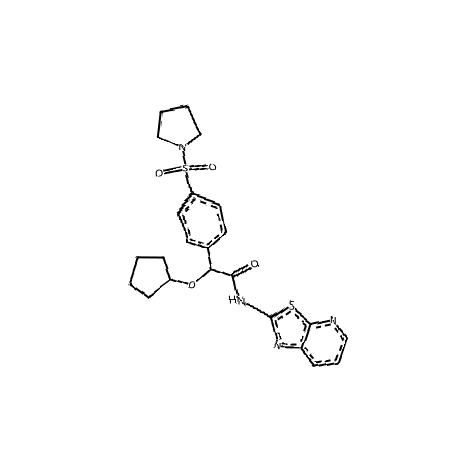 O=C(Nc1nc2cccnc2s1)C(OC1CCCC1)c1ccc(S(=O)(=O)N2CCCC2)cc1